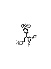 CS(=O)(=O)c1ccc(C(CCO)c2cc(F)cc(F)c2)cc1